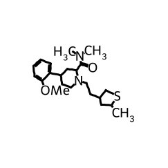 COc1ccccc1C1CCN(CCC2CSC(C)C2)C(C(=O)N(C)C)C1